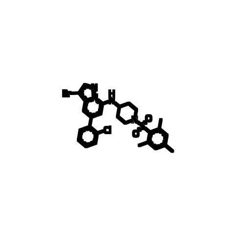 Cc1cc(C)c(S(=O)(=O)N2CCC(Nc3cc(-c4ccccc4Cl)cc4c(Br)cnn34)CC2)c(C)c1